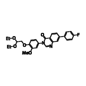 CCOC(COc1ccc(-n2cnc3cc(-c4ccc(F)cc4)ccc3c2=O)cc1OC)OCC